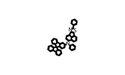 c1ccc(-c2nc3c(s2)-c2cccc4c(N(c5ccccc5)c5ccc6c(c5)-c5ccccc5C65c6ccccc6-c6ccccc65)ccc-3c24)cc1